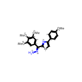 COc1ccc(-c2c[se]c(C(=NN)c3cc(OC)c(OC)c(OC)c3)n2)cc1